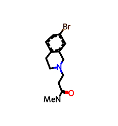 CNC(=O)CCN1CCc2ccc(Br)cc2C1